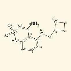 NC1=NS(=O)(=O)Nc2cccc(OCC3CCO3)c21